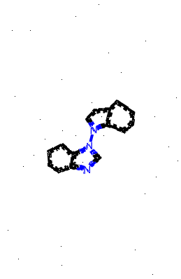 c1ccc2c(c1)ccn2-n1cnc2ccccc21